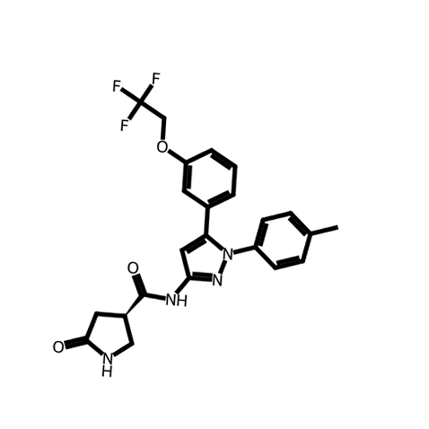 Cc1ccc(-n2nc(NC(=O)[C@H]3CNC(=O)C3)cc2-c2cccc(OCC(F)(F)F)c2)cc1